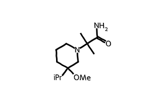 COC1(C(C)C)CCCN(C(C)(C)C(N)=O)C1